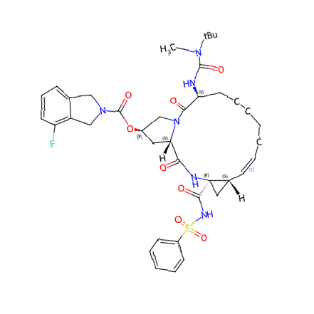 CN(C(=O)N[C@H]1CCCCC/C=C\[C@@H]2C[C@@]2(C(=O)NS(=O)(=O)c2ccccc2)NC(=O)[C@@H]2C[C@@H](OC(=O)N3Cc4cccc(F)c4C3)CN2C1=O)C(C)(C)C